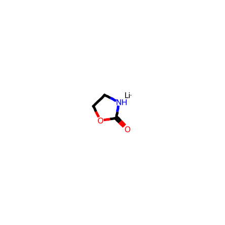 O=C1NCCO1.[Li]